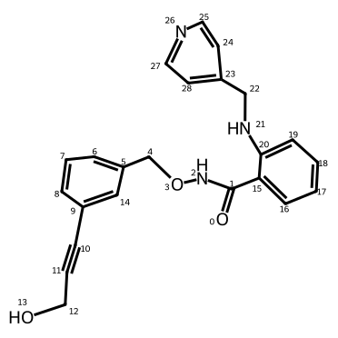 O=C(NOCc1cccc(C#CCO)c1)c1ccccc1NCc1ccncc1